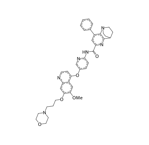 COc1cc2c(Oc3ccc(NC(=O)c4cc(-c5ccccc5)c5c(n4)C4CCN5CC4)nc3)ccnc2cc1OCCCN1CCOCC1